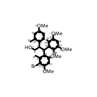 COc1ccc(C(CO)C(c2c(OC)cc(OC)c(Br)c2C)c2c(C)c(OC)cc(OC)c2Br)c(C)c1